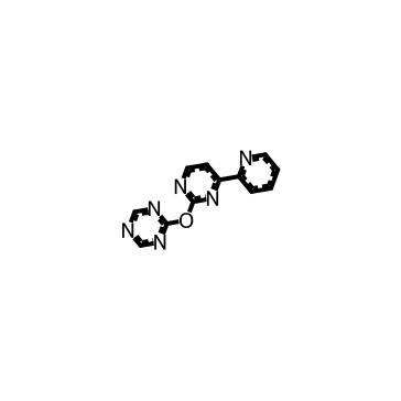 c1ccc(-c2ccnc(Oc3ncncn3)n2)nc1